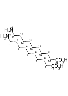 NCCCCCCCCCC(=O)O.NCCCCCCCCCC(=O)O